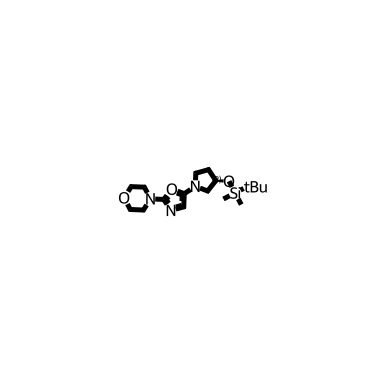 CC(C)(C)[Si](C)(C)O[C@@H]1CCN(c2cnc(N3CCOCC3)o2)C1